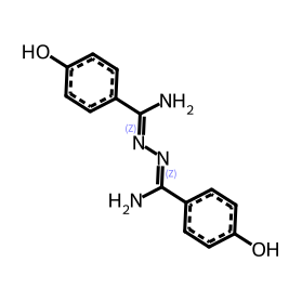 N/C(=N\N=C(/N)c1ccc(O)cc1)c1ccc(O)cc1